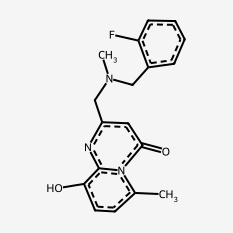 Cc1ccc(O)c2nc(CN(C)Cc3ccccc3F)cc(=O)n12